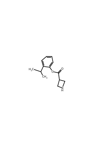 CC(C)c1ccccc1OC(=O)C1CNC1